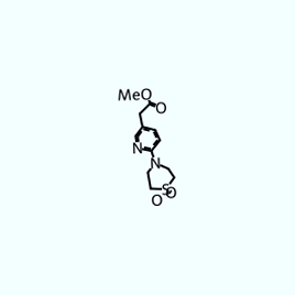 COC(=O)Cc1ccc(N2CCS(=O)(=O)CC2)nc1